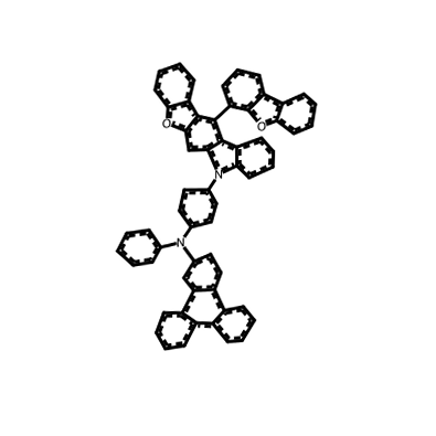 c1ccc(N(c2ccc(-n3c4ccccc4c4c(-c5cccc6c5oc5ccccc56)c5c(cc43)oc3ccccc35)cc2)c2ccc3c4ccccc4c4ccccc4c3c2)cc1